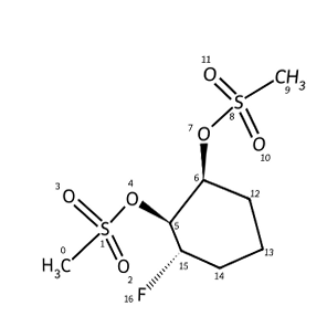 CS(=O)(=O)O[C@H]1[C@@H](OS(C)(=O)=O)CCC[C@@H]1F